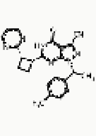 CC(c1ccc(C(F)(F)F)cc1)n1nc(C#N)c2c(=O)[nH]c([C@H]3CC[C@@H]3c3ncccn3)nc21